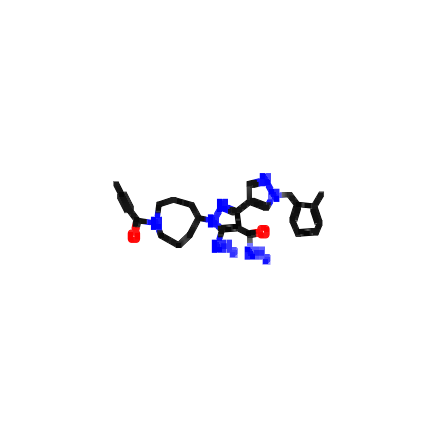 CC#CC(=O)N1CCCC(n2nc(-c3cnn(Cc4ccccc4C)c3)c(C(N)=O)c2N)CCC1